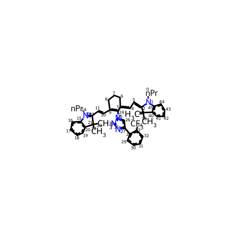 CCCN1/C(=C/C=C2\CCCC(/C=C/C3=[N+](CCC)c4ccccc4C3(C)C)=C2n2cc(-c3ccccc3C(F)(F)F)nn2)C(C)(C)c2ccccc21